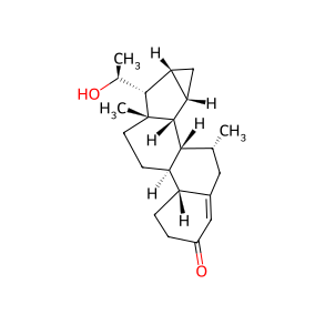 C[C@H](O)[C@@H]1[C@@H]2C[C@@H]2[C@@H]2[C@H]3[C@H](CC[C@@]21C)[C@H]1CCC(=O)C=C1C[C@H]3C